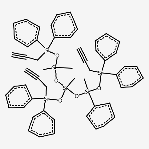 C#CC[Si](O[Si](C)(C)O[Si](C)(O[Si](C)(O[Si](CC#C)(c1ccccc1)c1ccccc1)c1ccccc1)O[Si](CC#C)(c1ccccc1)c1ccccc1)(c1ccccc1)c1ccccc1